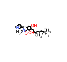 CCCCCc1cc(O)c(CC=C(C)CCC=C(C)C)c(O)c1C(=O)N(C)Cc1cccnc1